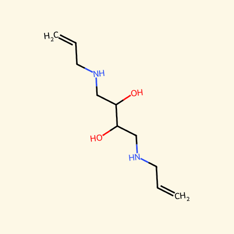 C=CCNCC(O)C(O)CNCC=C